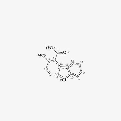 O=C(O)c1c(O)ccc2oc3ccccc3c12